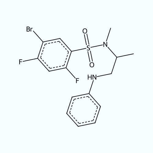 CC(CNc1ccccc1)N(C)S(=O)(=O)c1cc(Br)c(F)cc1F